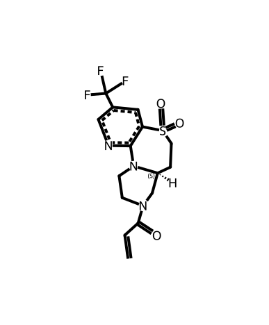 C=CC(=O)N1CCN2c3ncc(C(F)(F)F)cc3S(=O)(=O)CC[C@H]2C1